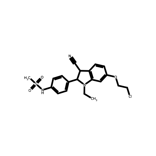 CCN1c2cc(OCCCl)ccc2C(C#N)C1c1ccc(NS(C)(=O)=O)cc1